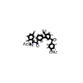 CCn1c2ccc(C(=O)/C(=N/OC(C)=O)c3cc(C)ccc3C)cc2c2cc(C(=O)c3ccc(OC(C)=O)cc3)ccc21